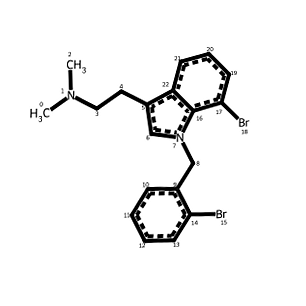 CN(C)CCc1cn(Cc2ccccc2Br)c2c(Br)cccc12